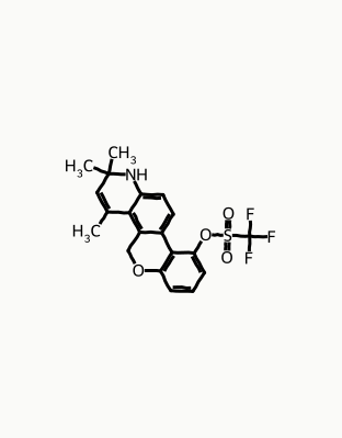 CC1=CC(C)(C)Nc2ccc3c(c21)COc1cccc(OS(=O)(=O)C(F)(F)F)c1-3